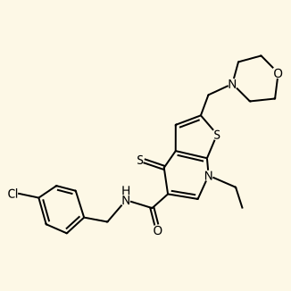 CCn1cc(C(=O)NCc2ccc(Cl)cc2)c(=S)c2cc(CN3CCOCC3)sc21